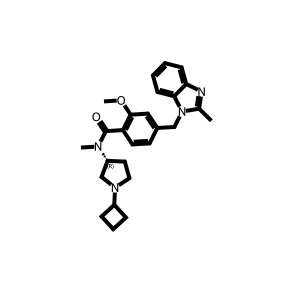 COc1cc(Cn2c(C)nc3ccccc32)ccc1C(=O)N(C)[C@@H]1CCN(C2CCC2)C1